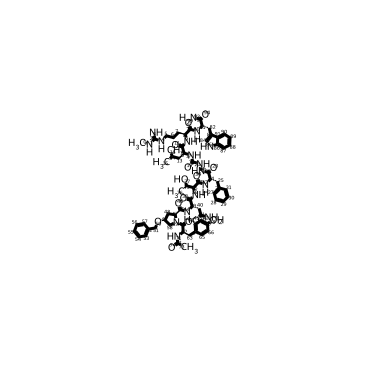 CNC(=N)NCCC[C@H](NC(=O)[C@H](CC(C)C)NC(=O)NNC(=O)[C@H](Cc1ccccc1)NC(=O)C(NC(=O)[C@H](CC(N)=O)NC(=O)[C@@H]1C[C@@H](OCc2ccccc2)CN1C(=O)[C@@H](Cc1ccc(O)cc1)NC(C)=O)[C@@H](C)O)C(=O)N[C@@H](Cc1c[nH]c2ccccc12)C(N)=O